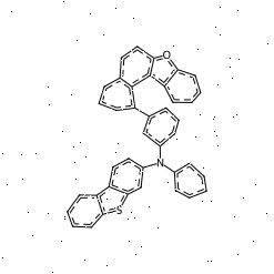 c1ccc(N(c2cccc(-c3cccc4ccc5oc6ccccc6c5c34)c2)c2ccc3c(c2)sc2ccccc23)cc1